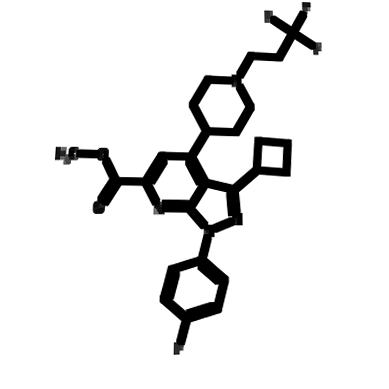 COC(=O)c1cc(C2CCN(CCC(F)(F)F)CC2)c2c(C3CCC3)nn(-c3ccc(F)cc3)c2n1